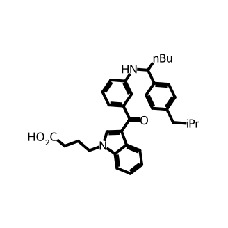 CCCCC(Nc1cccc(C(=O)c2cn(CCCC(=O)O)c3ccccc23)c1)c1ccc(CC(C)C)cc1